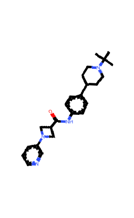 CC(C)(C)N1CCC(c2ccc(NC(=O)C3CN(c4cccnc4)C3)cc2)CC1